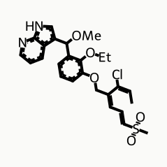 C\C=C(Cl)/C(=C\C=C\S(C)(=O)=O)COc1cccc(C(OC)c2c[nH]c3ncccc23)c1OCC